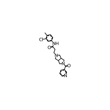 Cc1ccc(NC(=O)CCN2CC3CN(C(=O)c4cccnc4)CC3C2)cc1Cl